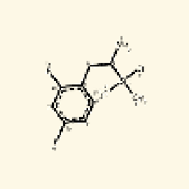 CC[Si](C)(C)C(N)Cc1ccc(F)cc1F